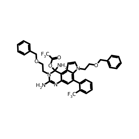 NC1=Nc2cc(-c3ccccc3C(F)(F)F)c3c(ccn3CCOCc3ccccc3)c2C(N)(OC(=O)C(F)(F)F)N1CCOCc1ccccc1